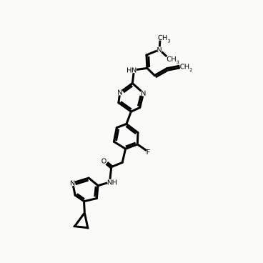 C=C=C/C(=C\N(C)C)Nc1ncc(-c2ccc(CC(=O)Nc3cncc(C4CC4)c3)c(F)c2)cn1